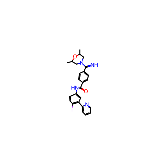 CC1CN(C(=N)c2ccc(C(=O)Nc3ccc(I)c(-c4ccccn4)c3)cc2)CC(C)O1